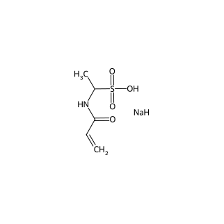 C=CC(=O)NC(C)S(=O)(=O)O.[NaH]